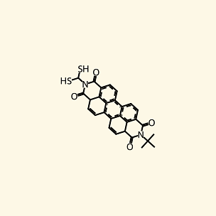 CC(C)(C)N1C(=O)c2ccc3c4c(c5c6c7c(ccc63)C(=O)N(C(S)S)C(=O)C7C=C5)C=CC(C1=O)c24